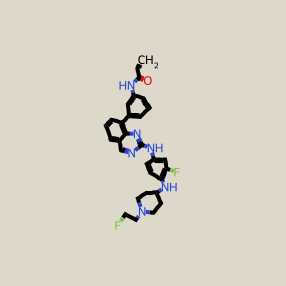 C=CC(=O)Nc1cccc(-c2cccc3cnc(Nc4ccc(NC5CCN(CCF)CC5)c(F)c4)nc23)c1